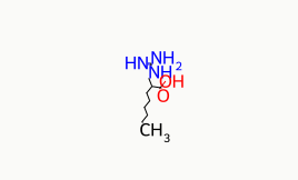 CCCCCCC(CNC(=N)N)C(=O)O